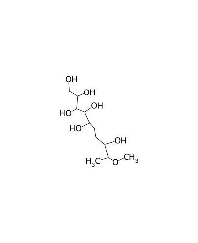 COC(C)C(O)CCC(O)C(O)C(O)C(O)CO